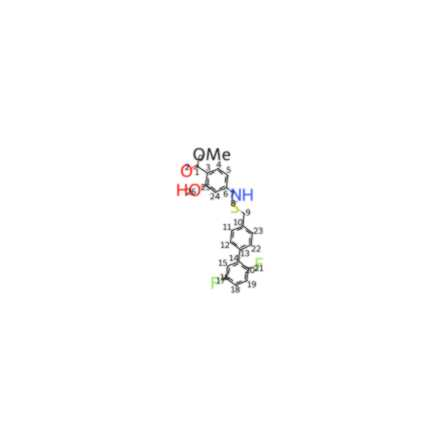 COC(=O)c1ccc(NSCc2ccc(-c3cc(F)ccc3F)cc2)cc1O